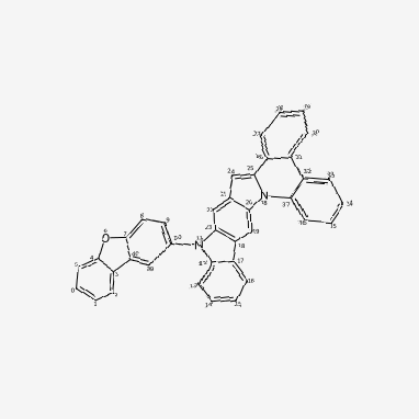 c1ccc2c(c1)oc1ccc(-n3c4ccccc4c4cc5c(cc43)cc3c4ccccc4c4ccccc4n53)cc12